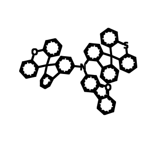 c1ccc2c(c1)Oc1ccccc1C21c2ccccc2-c2cc(N(c3ccc4c(c3)oc3ccccc34)c3cccc4c3-c3ccccc3C43c4ccccc4Sc4ccccc43)ccc21